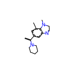 C=C(c1cc(C)c2c(c1)N=CCN2C)N1CCCCC1